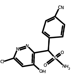 N#Cc1ccc(C(c2nnc(Cl)cc2O)S(N)(=O)=O)cc1